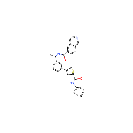 CCC(NC(=O)c1ccc2cnccc2c1)c1cccc(-c2csc(C(=O)Nc3ccccc3)c2)c1